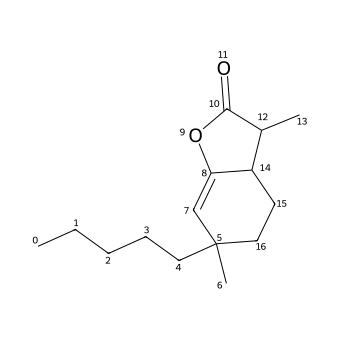 CCCCCC1(C)C=C2OC(=O)C(C)C2CC1